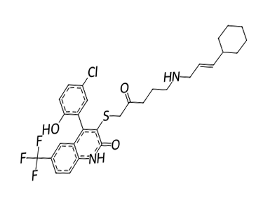 O=C(CCCNCC=CC1CCCCC1)CSc1c(-c2cc(Cl)ccc2O)c2cc(C(F)(F)F)ccc2[nH]c1=O